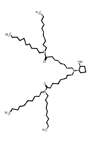 CCCCCCCCCCN(CCCCCCCCCC)C(=O)CCCCCCCN(CCCCCCCC(=O)N(CCCCCCCCCC)CCCCCCCCCC)[C@@H]1CCC[C@@H]1O